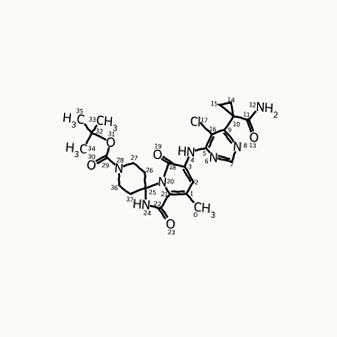 Cc1cc(Nc2ncnc(C3(C(N)=O)CC3)c2Cl)c(=O)n2c1C(=O)NC21CCN(C(=O)OC(C)(C)C)CC1